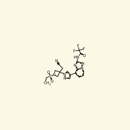 CCS(=O)(=O)N1CC(CC#N)(n2cc(-c3cccn4nc(NC(=O)C(F)(F)F)nc34)cn2)C1